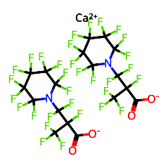 O=C([O-])C(F)(C(F)(F)F)C(F)(F)N1C(F)(F)C(F)(F)C(F)(F)C(F)(F)C1(F)F.O=C([O-])C(F)(C(F)(F)F)C(F)(F)N1C(F)(F)C(F)(F)C(F)(F)C(F)(F)C1(F)F.[Ca+2]